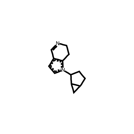 C1=NCCc2c1ccn2C1CCC2CC21